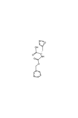 O=C(N[C@@H](Cc1ccco1)C(=O)O)OCc1ccccc1